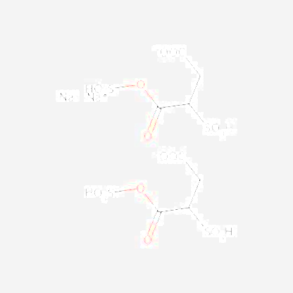 O=C([O-])CC(C(=O)OS(=O)(=O)O)S(=O)(=O)O.O=C([O-])CC(C(=O)OS(=O)(=O)O)S(=O)(=O)O.[Na+].[Na+]